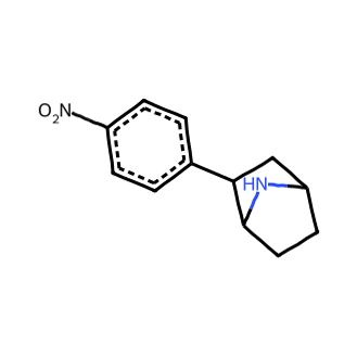 O=[N+]([O-])c1ccc(C2CC3CCC2N3)cc1